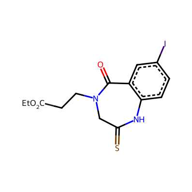 CCOC(=O)CCN1CC(=S)Nc2ccc(I)cc2C1=O